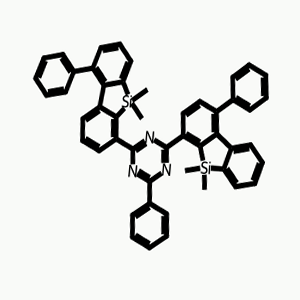 C[Si]1(C)c2cccc(-c3ccccc3)c2-c2cccc(-c3nc(-c4ccccc4)nc(-c4ccc(-c5ccccc5)c5c4[Si](C)(C)c4ccccc4-5)n3)c21